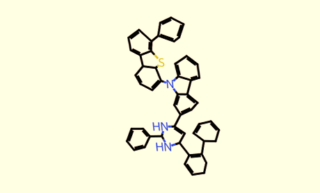 C1=CCC(C2=C(C3C=C(c4ccc5c6ccccc6n(C6=CC=CC7c8cccc(-c9ccccc9)c8SC67)c5c4)NC(c4ccccc4)N3)C=CCC2)C=C1